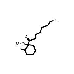 COC1(C(=O)CCCCCCC(C)C)CCCCC1C